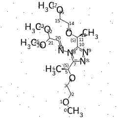 COCCO[C@@H](C)c1nnc([C@H](C)OCCOC)n1N=CC(OC)OC